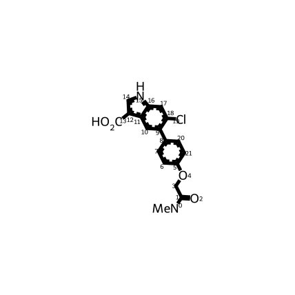 CNC(=O)COc1ccc(-c2cc3c(C(=O)O)c[nH]c3cc2Cl)cc1